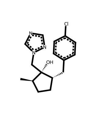 C[C@@H]1CC[C@@H](Cc2ccc(Cl)cc2)[C@]1(O)Cn1cncn1